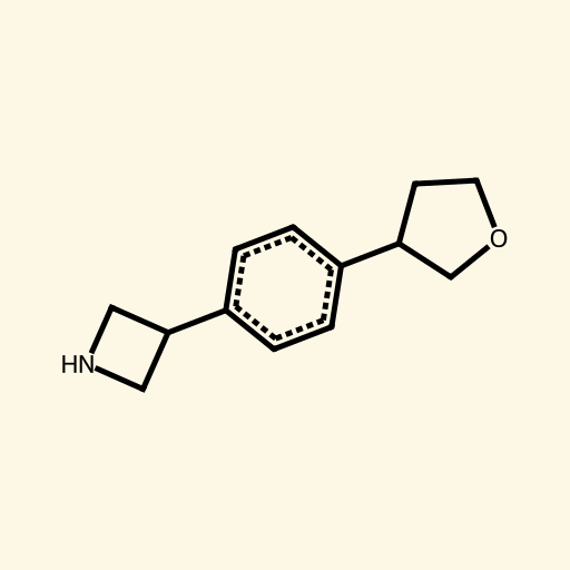 c1cc(C2CCOC2)ccc1C1CNC1